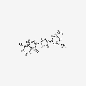 C[C@@H]1CN(c2ccc(-c3n[nH]c4c(Cl)cccc4c3=O)cc2)C[C@H](C)O1